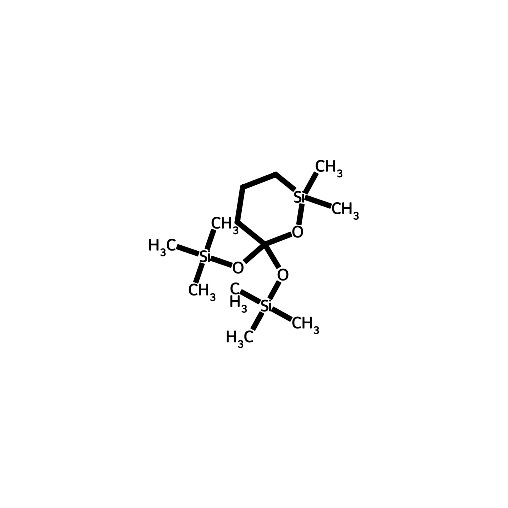 C[Si](C)(C)OC1(O[Si](C)(C)C)CCC[Si](C)(C)O1